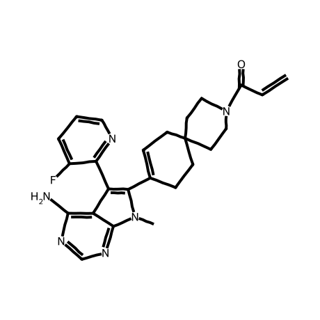 C=CC(=O)N1CCC2(CC=C(c3c(-c4ncccc4F)c4c(N)ncnc4n3C)CC2)CC1